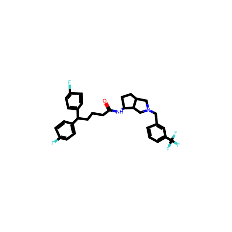 O=C(CCCC(c1ccc(F)cc1)c1ccc(F)cc1)NC1CCC2CN(Cc3cccc(C(F)(F)F)c3)CC21